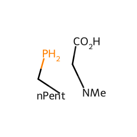 CCCCCCP.CNCC(=O)O